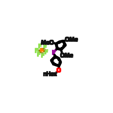 CCCCCCOc1ccc([I+]c2c(OC)cc(OC)cc2OC)cc1.F[P-](F)(F)(F)(F)F